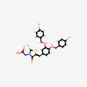 O=C(O)CN1C(=O)C(=Cc2ccc(OCc3ccc(F)cc3)c(OCc3ccc(F)cc3)c2)SC1=S